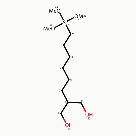 CO[Si](CCCCCCC(CO)CO)(OC)OC